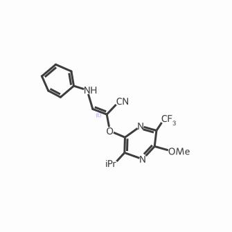 COc1nc(C(C)C)c(O/C(C#N)=C/Nc2ccccc2)nc1C(F)(F)F